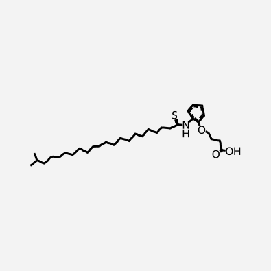 CC(C)CCCCCCCCCCCCCCCCCCCC(=S)Nc1ccccc1OCCCC(=O)O